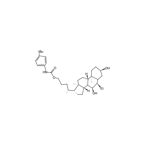 CC[C@@H]1C2C[C@H](O)CC[C@]2(C)[C@H]2CC[C@]3(C)[C@@H]([C@H](C)CCCOC(=O)Nc4ccc(C(C)(C)C)cc4)CC[C@H]3C2[C@@H]1O